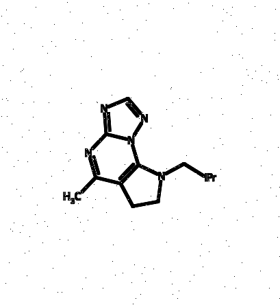 Cc1nc2ncnn2c2c1CCN2CC(C)C